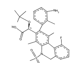 Cc1c(N)cccc1-c1c(C)c2c(c(C)c1[C@H](OC(C)(C)C)C(=O)O)N(S(C)(=O)=O)Cc1cccc(F)c1-2